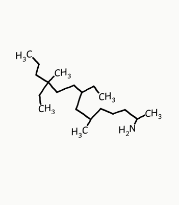 CCCC(C)(CC)CCC(CC)CC(C)CCCC(C)N